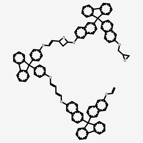 C=COc1ccc2cc(C3(c4ccc5cc(O/C=C/C=C/Oc6ccc(C7(c8ccc(O/C=C/C9CC(Oc%10ccc%11cc(C%12(c%13ccc%14cc(OCC%15CO%15)ccc%14c%13)c%13ccccc%13-c%13ccccc%13%12)ccc%11c%10)O9)cc8)c8ccccc8-c8ccccc87)cc6)ccc5c4)c4ccccc4-c4ccccc43)ccc2c1